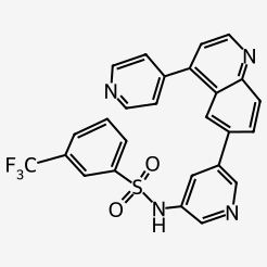 O=S(=O)(Nc1cncc(-c2ccc3nccc(-c4ccncc4)c3c2)c1)c1cccc(C(F)(F)F)c1